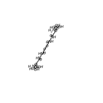 NC1C(OCCCCC(=O)NCCCNC(=O)CCOCCOCCC(=O)NCCCNC(=O)CCCCOC2OC(CO)C(O)C(O)C2N)OC(CO)C(O)C1O